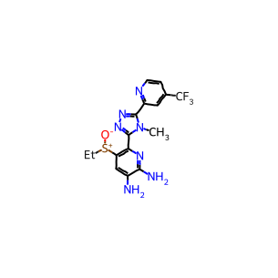 CC[S+]([O-])c1cc(N)c(N)nc1-c1nnc(-c2cc(C(F)(F)F)ccn2)n1C